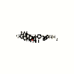 C[C@]12C=CC(=O)C=C1CC[C@@H]1[C@@H]2[C@@H](O)C[C@@]2(C)[C@H]1C[C@H]1O[C@@H](c3ccc(CC45C6C7C4C4C5C6C74N)cc3)O[C@]12C(=O)CO